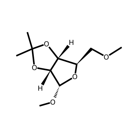 COC[C@H]1O[C@H](OC)[C@@H]2OC(C)(C)O[C@@H]21